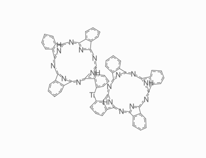 c1ccc2c(c1)-c1nc-2nc2[nH]c(nc3nc(nc4[nH]c(n1)c1ccccc41)-c1ccccc1-3)c1[c]([Ti][c]3cccc4c5nc6nc(nc7[nH]c(nc8nc(nc([nH]5)c34)-c3ccccc3-8)c3ccccc73)-c3ccccc3-6)cccc21